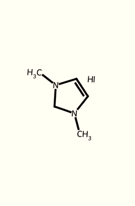 CN1C=CN(C)C1.I